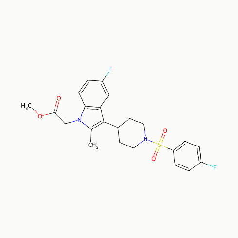 COC(=O)Cn1c(C)c(C2CCN(S(=O)(=O)c3ccc(F)cc3)CC2)c2cc(F)ccc21